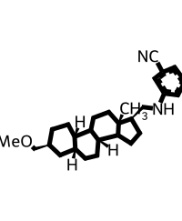 COC[C@H]1CC[C@@H]2C3CC[C@@]4(C)C(CC[C@@H]4CNc4cccc(C#N)c4)[C@@H]3CC[C@@H]2C1